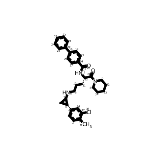 Cc1ccc([C@@H]2CC2NCCC[C@H](NC(=O)c2ccc(-c3ccccc3)cc2)C(=O)N2CCCCC2)cc1Cl